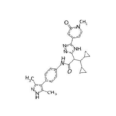 Cc1n[nH]c(C)c1-c1ccc(NC(=O)C(c2nnc(-c3ccn(C)c(=O)c3)[nH]2)C(C2CC2)C2CC2)cc1